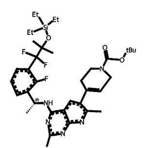 CC[Si](CC)(CC)OC(C)(C)C(F)(F)c1cccc([C@@H](C)Nc2nc(C)nc3nc(C)c(C4=CCN(C(=O)OC(C)(C)C)CC4)cc23)c1F